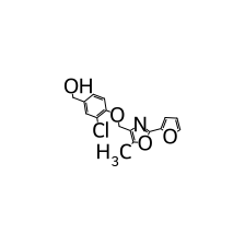 Cc1oc(-c2ccco2)nc1COc1ccc(CO)cc1Cl